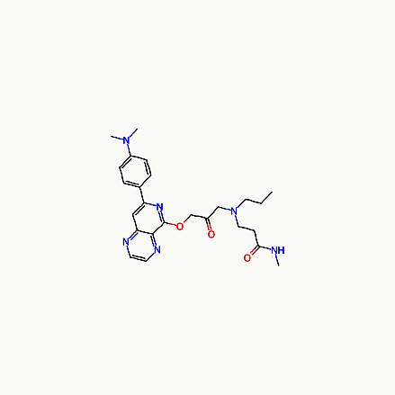 CCCN(CCC(=O)NC)CC(=O)COc1nc(-c2ccc(N(C)C)cc2)cc2nccnc12